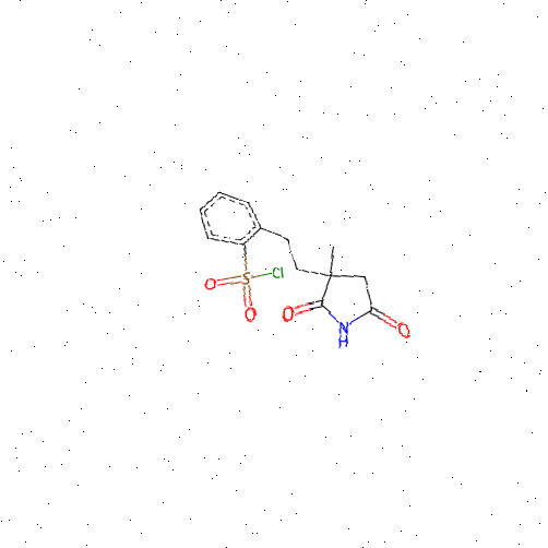 CC1(CCc2ccccc2S(=O)(=O)Cl)CC(=O)NC1=O